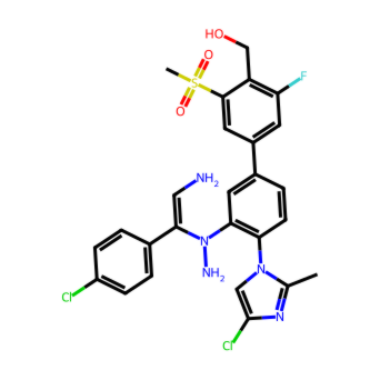 Cc1nc(Cl)cn1-c1ccc(-c2cc(F)c(CO)c(S(C)(=O)=O)c2)cc1N(N)/C(=C\N)c1ccc(Cl)cc1